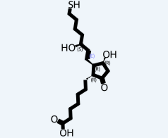 O=C(O)CCCCCC[C@H]1C(=O)C[C@@H](O)[C@@H]1/C=C/[C@@H](O)CCCCS